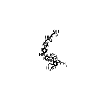 COc1cc(OC)c(Cl)c(NC(=O)N(C)c2cc(Nc3ccc(N4CCN(CC(=O)NCCC(=O)O)CC4)cc3)ncn2)c1Cl